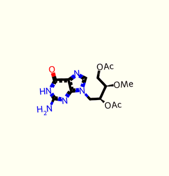 CO[C@H](COC(C)=O)[C@H](Cn1cnc2c(=O)[nH]c(N)nc21)OC(C)=O